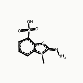 Cn1c(=NN)sc2c(S(=O)(=O)O)cccc21